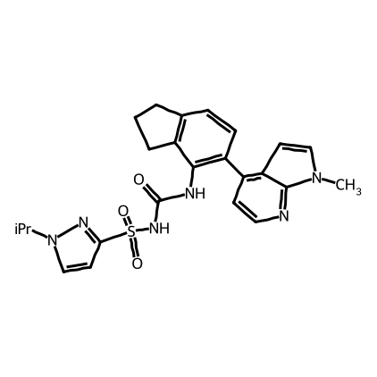 CC(C)n1ccc(S(=O)(=O)NC(=O)Nc2c(-c3ccnc4c3ccn4C)ccc3c2CCC3)n1